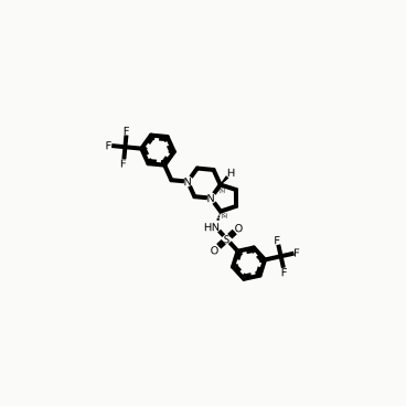 O=S(=O)(N[C@H]1CC[C@H]2CCN(Cc3cccc(C(F)(F)F)c3)CN21)c1cccc(C(F)(F)F)c1